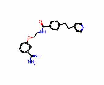 N=C(N)c1cccc(OCCNC(=O)c2ccc(CCc3ccncc3)cc2)c1